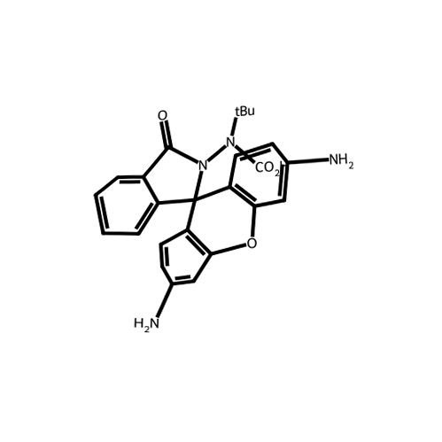 CC(C)(C)N(C(=O)O)N1C(=O)c2ccccc2C12c1ccc(N)cc1Oc1cc(N)ccc12